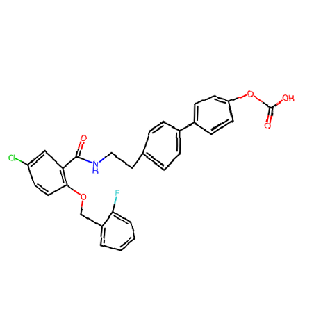 O=C(O)Oc1ccc(-c2ccc(CCNC(=O)c3cc(Cl)ccc3OCc3ccccc3F)cc2)cc1